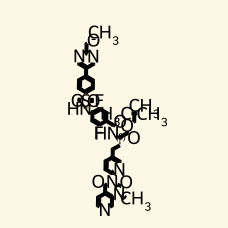 COCc1ncc(-c2ccc(S(=O)(=O)Nc3cc(F)c(C(=O)N[C@@H](CCc4ccc(-n5c(=O)c6ccncc6n(C)c5=O)nc4)C(=O)OCC(C)(C)C)cc3F)cc2)cn1